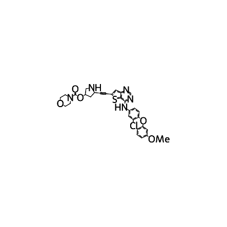 COc1cccc(Oc2ccc(Nc3ncnc4cc(C#CC5CC(OC(=O)N6CCOCC6)CN5)sc34)cc2Cl)c1